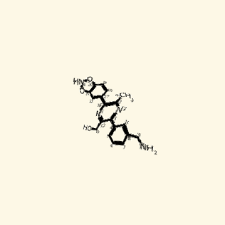 Cc1nc(-c2cccc(CN)c2)c(CO)nc1-c1ccc2c(c1)ONO2